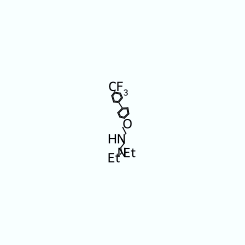 CCN(CC)CCNCCOc1ccc(-c2ccc(C(F)(F)F)cc2)cc1